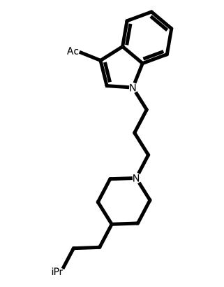 CC(=O)c1cn(CCCN2CCC(CCC(C)C)CC2)c2ccccc12